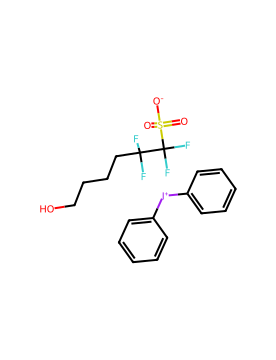 O=S(=O)([O-])C(F)(F)C(F)(F)CCCCO.c1ccc([I+]c2ccccc2)cc1